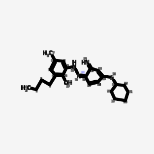 CCCCc1cc(C)cc(N/N=C2/C=CC(SC3CCCCC3)=CC2=N)c1O